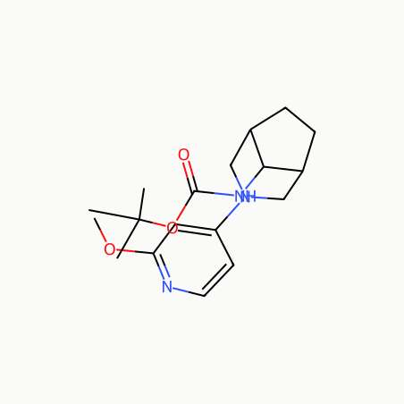 COc1cc(N2CC3CCC(C2)C3NC(=O)OC(C)(C)C)ccn1